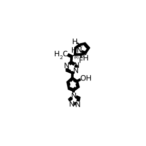 C=C(c1ncc(-c2ccc(-n3cnnc3)cc2O)nn1)[C@H]1C[C@@H]2C=C[C@@H](N2)[C@H]1F